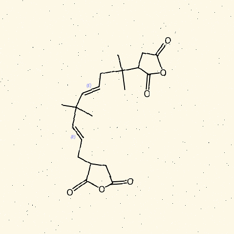 CC(C)(/C=C/CC1CC(=O)OC1=O)/C=C/CC(C)(C)C1CC(=O)OC1=O